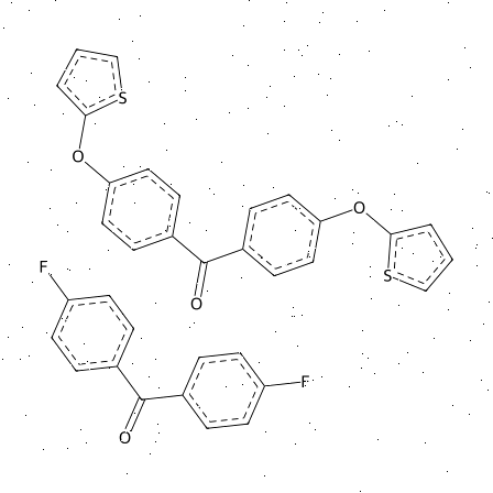 O=C(c1ccc(F)cc1)c1ccc(F)cc1.O=C(c1ccc(Oc2cccs2)cc1)c1ccc(Oc2cccs2)cc1